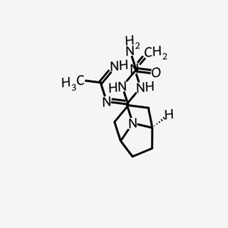 C=NN/C(=N\C(C)=N)N1C2CC[C@@H]1CC(NC(N)=O)C2